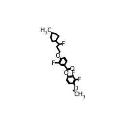 CCOc1ccc(OC(=O)c2ccc(OCCC(F)C3CCC(C)CC3)c(F)c2)c(F)c1F